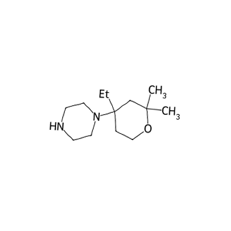 CCC1(N2CCNCC2)CCOC(C)(C)C1